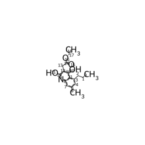 CCCc1cc(C)cc2nc(O)c(CC(=O)OCC)c(O)c12